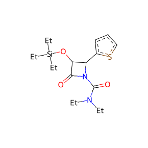 CCN(CC)C(=O)N1C(=O)C(O[Si](CC)(CC)CC)C1c1cccs1